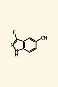 N#Cc1ccc2[nH]nc(F)c2c1